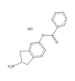 Cl.NC1Cc2ccc(OC(=O)c3ccccc3)cc2C1